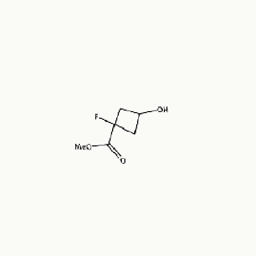 COC(=O)C1(F)CC(O)C1